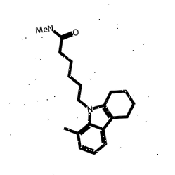 CNC(=O)CCCCCn1c2c(c3cccc(C)c31)CCCC2